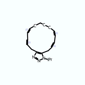 CC(C)n1nnc2c1C/C=C\C=C/CCCC/C=C\C=C/C2